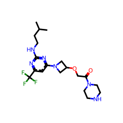 CC(C)CCNc1nc(N2CC(OCC(=O)N3CCNCC3)C2)cc(C(F)(F)F)n1